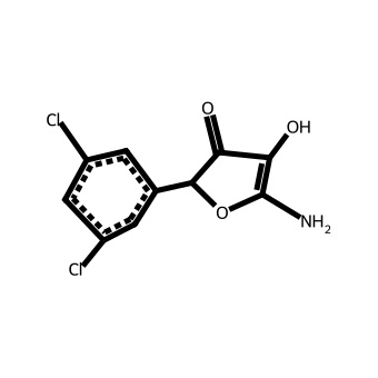 NC1=C(O)C(=O)C(c2cc(Cl)cc(Cl)c2)O1